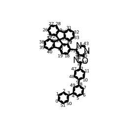 c1ccc(-c2cccc(-c3ccc(-c4nc5c(-c6ccc7c(c6)C6(c8ccccc8-c8ccccc86)c6ccccc6-7)ncnc5o4)cc3)c2)cc1